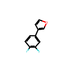 Fc1ccc(-c2[c]coc2)cc1F